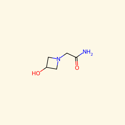 NC(=O)CN1CC(O)C1